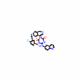 N#Cc1cc(Cn2c(Nc3ccc4ncccc4c3)nc(=O)n(-c3cncc4ccccc34)c2=O)ccc1F